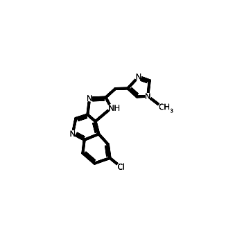 Cn1cnc(Cc2nc3cnc4ccc(Cl)cc4c3[nH]2)c1